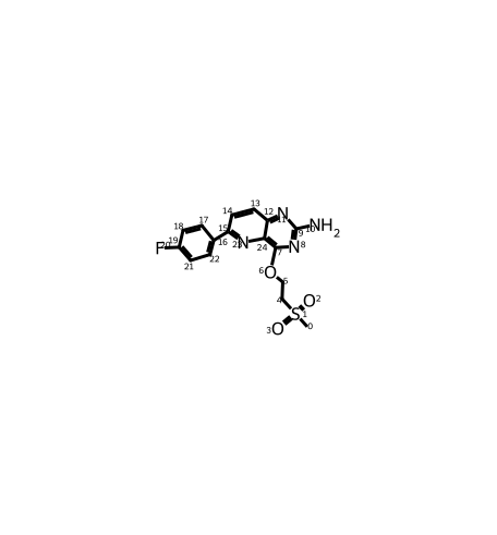 CS(=O)(=O)CCOc1nc(N)nc2ccc(-c3ccc(F)cc3)nc12